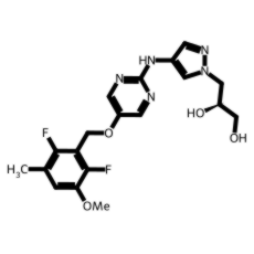 COc1cc(C)c(F)c(COc2cnc(Nc3cnn(C[C@H](O)CO)c3)nc2)c1F